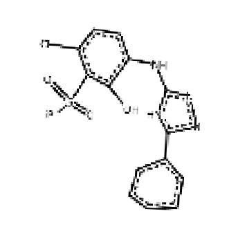 CC(C)S(=O)(=O)c1c(Cl)ccc(Nc2nnc(-c3ccccc3)[nH]2)c1O